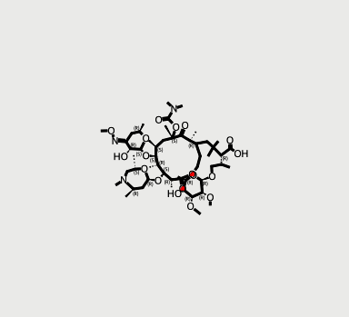 CON=C1C[C@@H](C)O[C@@H](O[C@@H]2[C@@H](C)[C@H](O[C@H]3C[C@@H](C)N(C)C[C@H](C)O3)[C@@H](C)C(=O)OCCC(CC(C)(C)[C@H](C(=O)O)C(C)CO[C@@H]3O[C@H](C)[C@@H](O)[C@@H](OC)[C@H]3OC)[C@@H](C)C(=O)[C@@](C)(OC(=O)N(C)C)C[C@@H]2C)[C@@H]1O